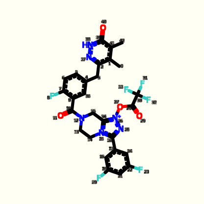 Cc1c(Cc2ccc(F)c(C(=O)N3CCn4c(-c5cc(F)cc(F)c5)n[n+](OC(=O)C(F)(F)F)c4C3)c2)n[nH]c(=O)c1C